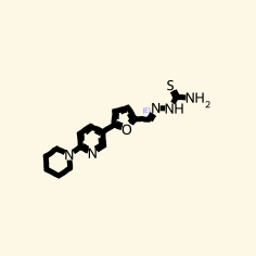 NC(=S)N/N=C/c1ccc(-c2ccc(N3CCCCC3)nc2)o1